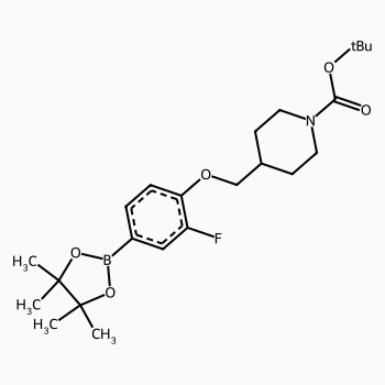 CC(C)(C)OC(=O)N1CCC(COc2ccc(B3OC(C)(C)C(C)(C)O3)cc2F)CC1